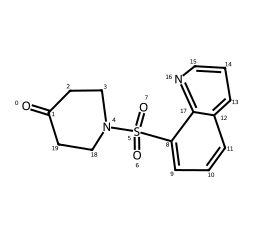 O=C1CCN(S(=O)(=O)c2cccc3cccnc23)CC1